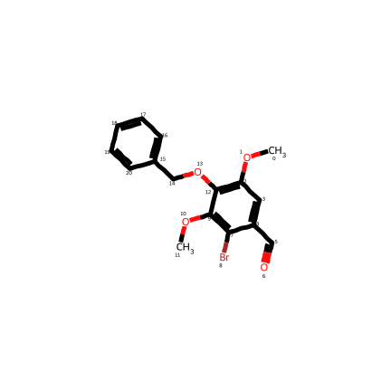 COc1cc(C=O)c(Br)c(OC)c1OCc1ccccc1